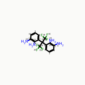 Nc1cccc(C(c2cccc(N)c2N)(C(F)(F)F)C(F)(F)F)c1N